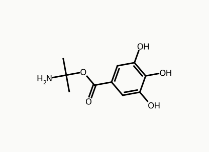 CC(C)(N)OC(=O)c1cc(O)c(O)c(O)c1